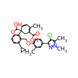 CC1=C(C(=O)O)CC(C(=O)O)(c2cccc(C3CC3)c2COc2ccc(-c3nn(C)c(C)c3Cl)cc2C)C=C1